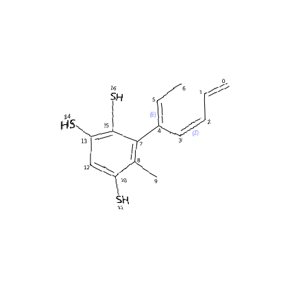 C=C/C=C\C(=C/C)c1c(C)c(S)cc(S)c1S